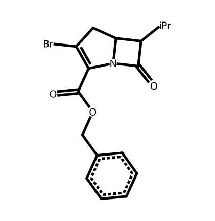 CC(C)C1C(=O)N2C(C(=O)OCc3ccccc3)=C(Br)CC12